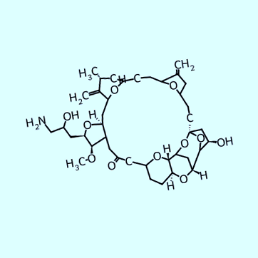 C=C1CC2CC[C@]34C[C@@H](O)C(O3)[C@H]3CC(O4)[C@H]4OC(CC[C@@H]4O3)CC(=O)CC3[C@H](CC4O[C@@H](CCC1O2)C[C@@H](C)C4=C)O[C@H](CC(O)CN)[C@@H]3OC